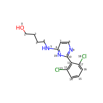 OCCCCNc1ccnc(-c2c(Cl)cccc2Cl)n1